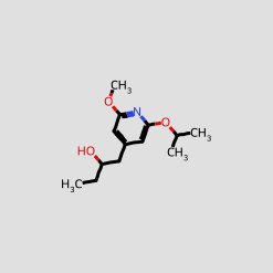 CCC(O)Cc1cc(OC)nc(OC(C)C)c1